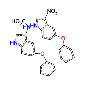 O=C(O)Nc1c[nH]c2ccc(Oc3ccccc3)cc12.O=[N+]([O-])c1c[nH]c2ccc(Oc3ccccc3)cc12